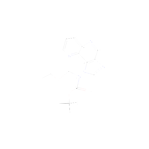 CCOCN(C(=O)OC(C)(C)C)n1cnc2cnc3cccnc3c21